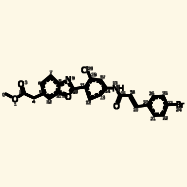 COC(=O)Cc1ccc2nc(-c3ccc(NC(=O)C=Cc4ccc(Br)cc4)cc3Cl)oc2c1